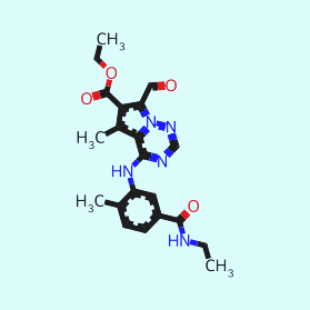 CCNC(=O)c1ccc(C)c(Nc2ncnn3c(C=O)c(C(=O)OCC)c(C)c23)c1